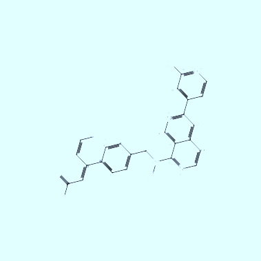 C=C(C)/C=C(\C=C/C)c1ccc(CN(C)c2nccc3cc(-c4ccnc(C)c4)ncc23)cc1